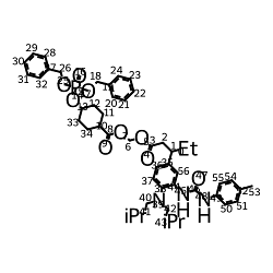 CCC(CC(=O)OCOC(=O)C1CCC(OP(=O)(OCc2ccccc2)OCc2ccccc2)CC1)c1ccc(N(CC(C)C)CC(C)C)c(NC(=O)Nc2ccc(C)cc2)c1